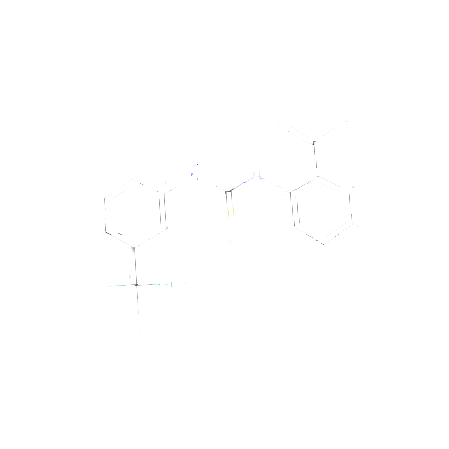 O=C(O)c1ccccc1NC(=S)Nc1cccc(C(F)(F)F)c1